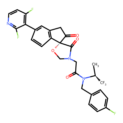 C[C@H](N(Cc1ccc(F)cc1)C(=O)CN1CO[C@]2(C(=O)Cc3cc(-c4c(F)ccnc4F)ccc32)C1=O)C(F)(F)F